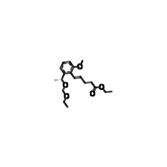 CCOCO[C@H](C)c1cccc(OC)c1/C=C/CCC(=O)OCC